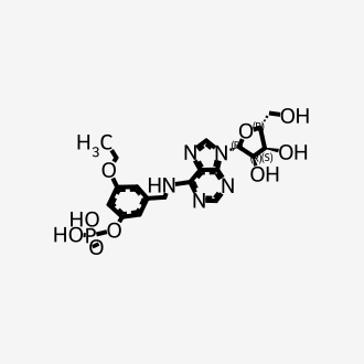 CCOc1cc(CNc2ncnc3c2ncn3[C@@H]2O[C@H](CO)[C@@H](O)[C@H]2O)cc(OP(=O)(O)O)c1